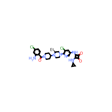 CC[C@H]1CN(c2ncc(Nc3c(NC4CC4)c(=O)c3=O)cc2Cl)CCN1C1CCN(C(=O)c2ccc(Cl)cc2N)CC1